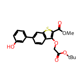 COC(=O)c1sc2cc(-c3cccc(O)c3)ccc2c1OCC(=O)OC(C)(C)C